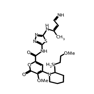 COCC[SiH2]C1CCCCN1c1cc(C(=O)Nc2nnc(N/C(C)=C\C=N)s2)oc(=O)c1OC